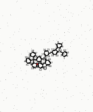 c1ccc(-n2c3ccccc3c3cc(-c4cccc(N(c5ccc(C(c6ccccc6)(c6ccccc6)c6ccccc6)cc5)c5cccc6oc7ccccc7c56)c4)ccc32)cc1